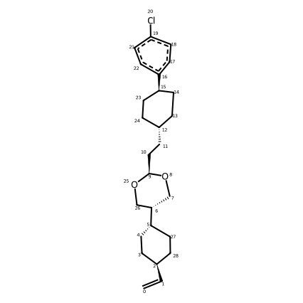 C=C[C@H]1CC[C@H]([C@H]2CO[C@H](CC[C@H]3CC[C@H](c4ccc(Cl)cc4)CC3)OC2)CC1